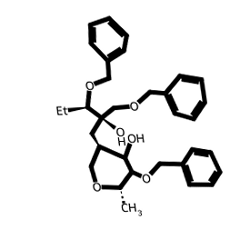 CC[C@@H](OCc1ccccc1)[C@](O)(COCc1ccccc1)C[C@@H]1CO[C@@H](C)C(OCc2ccccc2)C1O